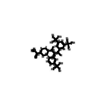 CN(C(=O)N(C)[C@@H]1CCN(C(=O)O)C[C@H]1c1ccc(C(F)(F)F)cc1)c1cc(C(F)(F)F)cc(C(F)(F)F)c1